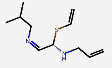 C=CCN[C@H](/C=N\CC(C)C)SC=C